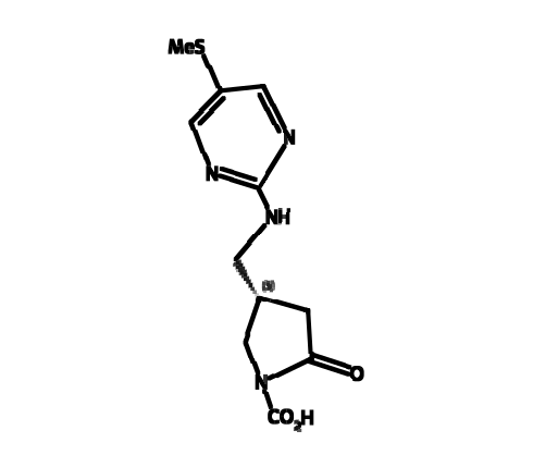 CSc1cnc(NC[C@@H]2CC(=O)N(C(=O)O)C2)nc1